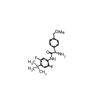 COCc1ccc(C(N)C(=O)Nc2cc(F)c([Si](C)(C)C)cc2F)cc1